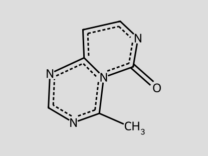 Cc1ncnc2ccnc(=O)n12